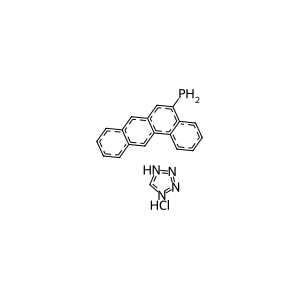 Cl.Pc1cc2cc3ccccc3cc2c2ccccc12.c1nnn[nH]1